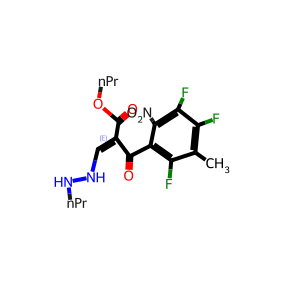 CCCNN/C=C(/C(=O)OCCC)C(=O)c1c(F)c(C)c(F)c(F)c1[N+](=O)[O-]